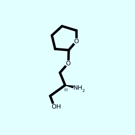 N[C@@H](CO)COC1CCCCO1